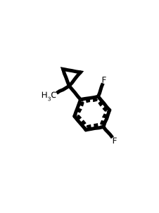 CC1(c2ccc(F)cc2F)CC1